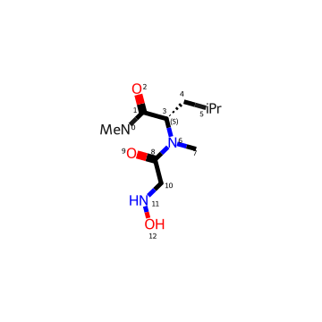 CNC(=O)[C@H](CC(C)C)N(C)C(=O)CNO